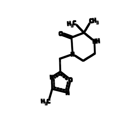 Cc1noc(CN2CCNC(C)(C)C2=O)n1